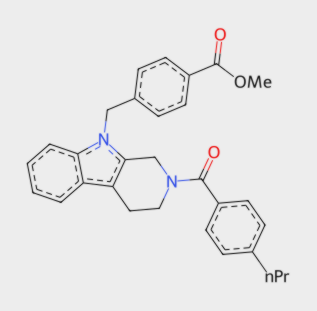 CCCc1ccc(C(=O)N2CCc3c(n(Cc4ccc(C(=O)OC)cc4)c4ccccc34)C2)cc1